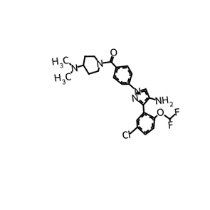 CN(C)C1CCN(C(=O)c2ccc(-n3cc(N)c(-c4cc(Cl)ccc4OC(F)F)n3)cc2)CC1